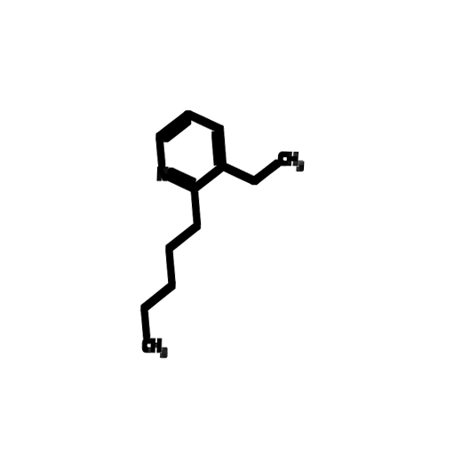 CCCCCc1ncccc1CC